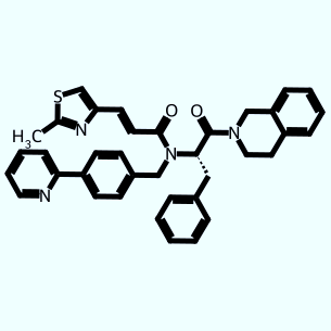 Cc1nc(C=CC(=O)N(Cc2ccc(-c3ccccn3)cc2)[C@@H](Cc2ccccc2)C(=O)N2CCc3ccccc3C2)cs1